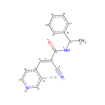 CC(NC(=O)/C(C#N)=C/c1ccncc1F)c1ccccc1